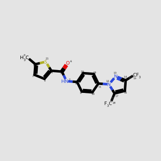 Cc1ccc(C(=O)Nc2ccc(-n3nc(C(F)(F)F)cc3C(F)(F)F)cc2)s1